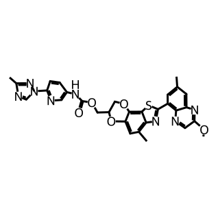 COc1cnc2c(-c3nc4c(C)cc5c(c4s3)OCC(COC(=O)Nc3ccc(-n4cnc(C)n4)nc3)O5)cc(C)cc2n1